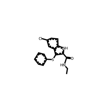 CCNC(=O)c1[nH]c2ccc(Cl)cc2c1Sc1ccccc1